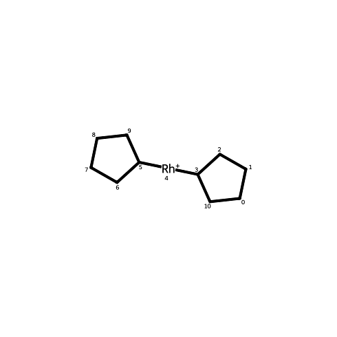 C1CC[CH]([Rh+][CH]2CCCC2)C1